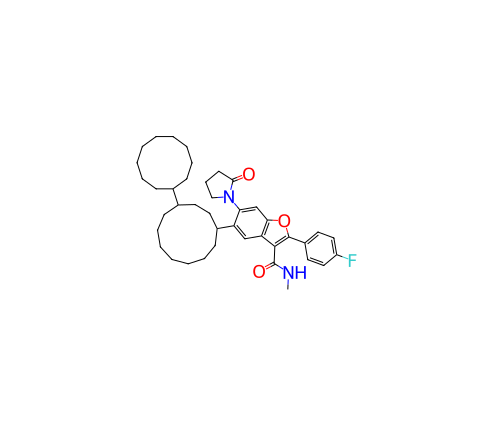 CNC(=O)c1c(-c2ccc(F)cc2)oc2cc(N3CCCC3=O)c(C3CCCCCCCC(C4CCCCCCCCC4)CC3)cc12